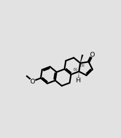 COc1ccc2c(c1)CCC1=C2CC[C@]2(C)C(=O)C=C[C@@H]12